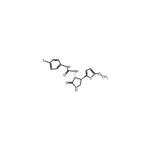 COc1ccc([C@H]2CNC(=O)[C@@H]2NC(=O)Nc2ccc(F)cc2)s1